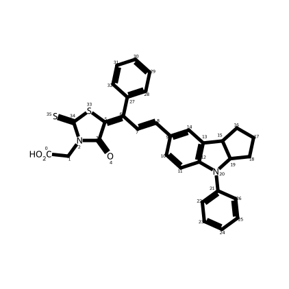 O=C(O)CN1C(=O)/C(=C(\C=C\c2ccc3c(c2)C2CCCC2N3c2ccccc2)c2ccccc2)SC1=S